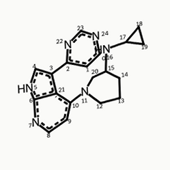 c1cc(-c2c[nH]c3nccc(N4CCCC(NC5CC5)C4)c23)ncn1